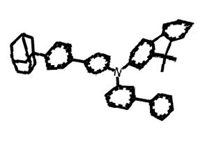 CC1(C)c2ccccc2-c2ccc(N(c3ccc(-c4ccc(C56CC7CC(CC(C7)C5)C6)cc4)cc3)c3cccc(-c4ccccc4)c3)cc21